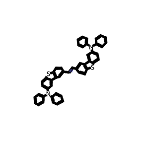 C(=C\c1ccc2sc3ccc(N(c4ccccc4)c4ccccc4)cc3c2c1)/c1ccc2sc3ccc(N(c4ccccc4)c4ccccc4)cc3c2c1